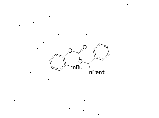 CCCCCC(OC(=O)Oc1ccccc1CCCC)c1ccccc1